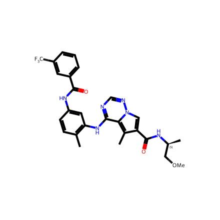 COC[C@H](C)NC(=O)c1cn2ncnc(Nc3cc(NC(=O)c4cccc(C(F)(F)F)c4)ccc3C)c2c1C